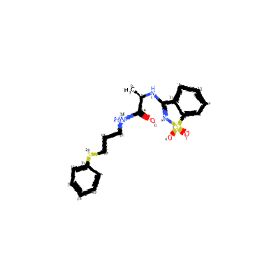 C[C@@H](NC1=NS(=O)(=O)c2ccccc21)C(=O)NCCCSc1ccccc1